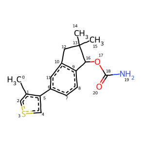 Cc1cscc1-c1ccc2c(c1)CC(C)(C)C2OC(N)=O